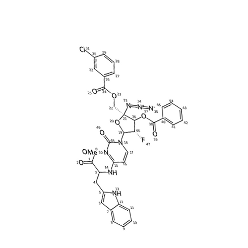 COC(=O)C(Cc1cc2ccccc2[nH]1)Nc1ccn(C2O[C@@](COC(=O)c3cccc(Cl)c3)(N=[N+]=[N-])C(OC(=O)c3ccccc3)[C@@H]2F)c(=O)n1